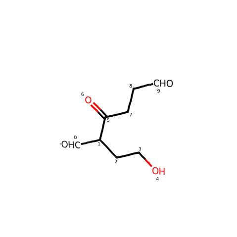 O=[C]C(CCO)C(=O)CCC=O